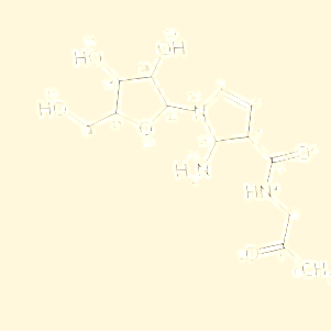 CC(=O)CNC(=O)C1C=CN(C2OC(CO)C(O)C2O)C1N